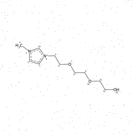 Cn1cc[n+](CCOCCOCCO)c1